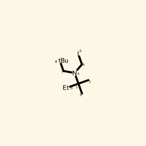 CCC(C)(C)N(CI)CC(C)(C)C